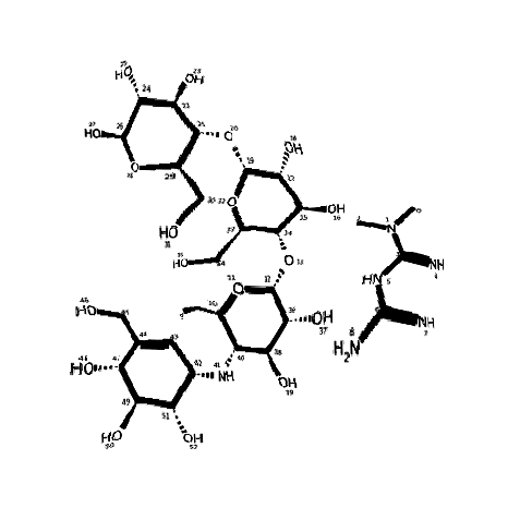 CN(C)C(=N)NC(=N)N.C[C@H]1O[C@H](O[C@H]2[C@H](O)[C@@H](O)[C@@H](O[C@H]3[C@H](O)[C@@H](O)[C@H](O)O[C@@H]3CO)O[C@@H]2CO)[C@H](O)[C@@H](O)[C@@H]1N[C@H]1C=C(CO)[C@@H](O)[C@H](O)[C@H]1O